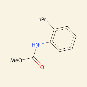 CCCc1ccccc1NC(=O)OC